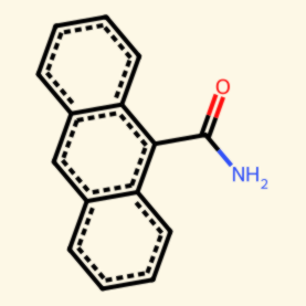 NC(=O)c1c2ccccc2cc2ccccc12